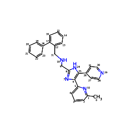 Cc1cccc(-c2nc(CNCc3ccccc3-c3ccccc3)[nH]c2-c2ccncc2)n1